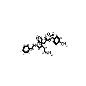 Cc1ccc(S(=O)(=O)OC(=O)CC2(CC(C)C)C(=O)N(CCc3ccccc3)CC2CCN)cc1